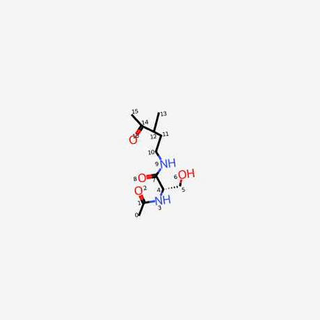 CC(=O)N[C@@H](CO)C(=O)NCCC(C)C(C)=O